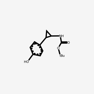 CC(C)(C)OC(=O)NC1CC1c1ccc(O)cc1